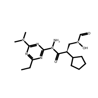 CCc1nc(N(C)C)nc(N(N)C(=O)[C@@H](CN(O)C=O)C2CCCC2)n1